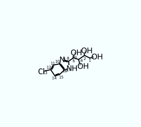 OCC(O)C(O)[C@H](O)c1nc2cc(Cl)ccc2[nH]1